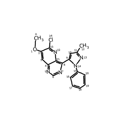 COc1cc2ncnc(-c3cc(C)nn3-c3ccccc3)c2nc1Cl